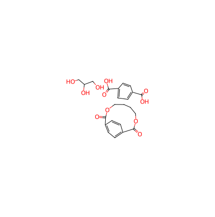 O=C(O)c1ccc(C(=O)O)cc1.O=C1OCCCCOC(=O)c2ccc1cc2.OCC(O)CO